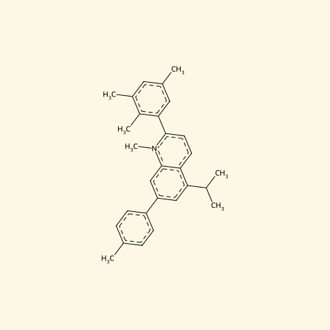 Cc1ccc(-c2cc(C(C)C)c3ccc(-c4cc(C)cc(C)c4C)[n+](C)c3c2)cc1